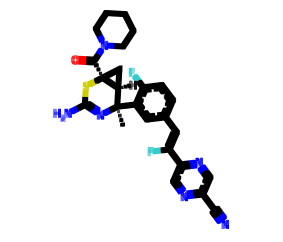 C[C@]1(c2cc(C=C(F)c3cnc(C#N)cn3)ccc2F)N=C(N)S[C@@]2(C(=O)N3CCCCC3)C[C@H]21